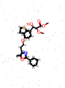 COC(=O)C(OC)[C@H](O)c1ccc(OCCc2nc(-c3ccccc3)oc2C)c2ccsc12